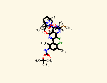 CSc1nc2c3c(nc(-c4c(C)c(NC(=O)OC(C)(C)C)cc(C)c4Br)c(F)c3n1)O[C@@H](C)[C@@H]1[C@@H]3CC[C@H](CN21)N3C(=O)OC(C)(C)C